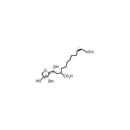 CCCCCCCC/C=C\CCCCCCC(C[C@@H](O)[C@H]1OC[C@H](O)[C@H]1O)C(=O)O